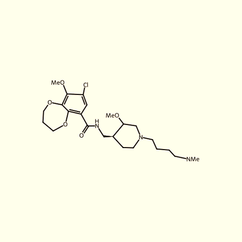 CNCCCCN1CC[C@@H](CNC(=O)c2cc(Cl)c(OC)c3c2OCCCO3)C(OC)C1